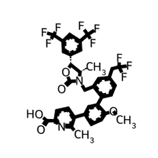 COc1ccc(-c2ccc(C(=O)O)nc2C)cc1-c1ccc(CC(F)(F)F)cc1CN1C(=O)O[C@H](c2cc(C(F)(F)F)cc(C(F)(F)F)c2)[C@@H]1C